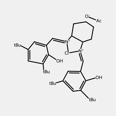 CC(=O)[O-].CC(C)(C)c1cc(C=[N+]2[Cr][N+](=Cc3cc(C(C)(C)C)cc(C(C)(C)C)c3O)C3CCCCC32)c(O)c(C(C)(C)C)c1